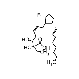 CCCCCC/C=C/[C@H]1CC[C@@H](F)[C@@H]1C/C=C\CC(O)C(O)(CC)C(=O)O